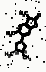 Cc1cc2c(cc1N1C[C@@H](C)[C@H](C)C1)OC(=O)C2C